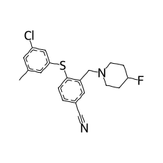 Cc1cc(Cl)cc(Sc2ccc(C#N)cc2CN2CCC(F)CC2)c1